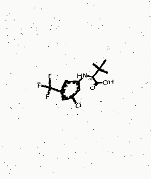 CC(C)(C)[C@H](Nc1cc(Cl)cc(C(F)(F)F)c1)C(=O)O